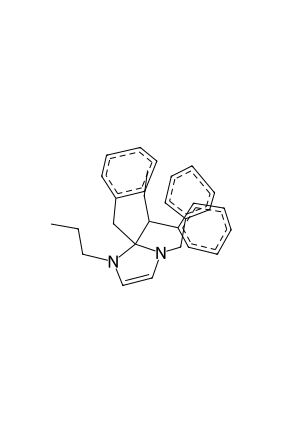 CCCN1C=CN(Cc2ccccc2)C1(Cc1ccccc1)C(CC)c1ccccc1